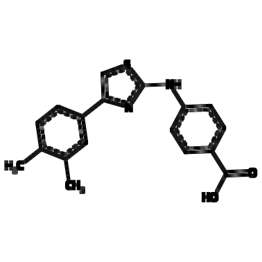 Cc1ccc(-c2csc(Nc3ccc(C(=O)O)cc3)n2)cc1C